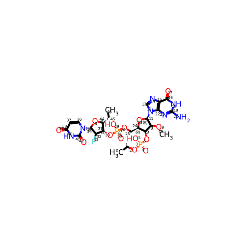 CCOP(=O)(O)O[C@@H]1C(OC)[C@H](n2cnc3c(=O)[nH]c(N)nc32)O[C@@H]1COP(=O)(O)O[C@@H]1C(F)[C@H](n2ccc(=O)[nH]c2=O)O[C@@H]1CC